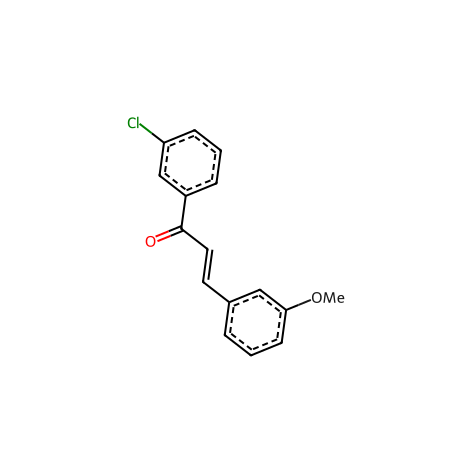 COc1cccc(C=CC(=O)c2cccc(Cl)c2)c1